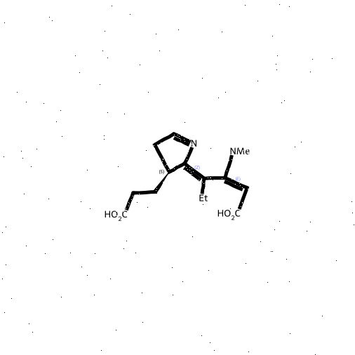 CCC(=C1/N=CC[C@@H]1CCC(=O)O)/C(=C\C(=O)O)NC